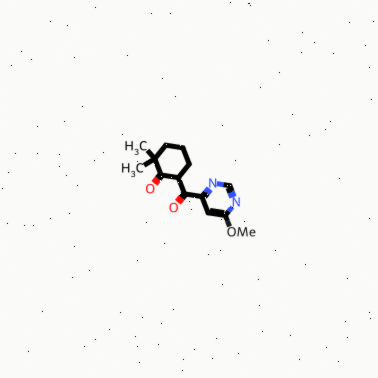 COc1cc(C(=O)C2CCCC(C)(C)C2=O)ncn1